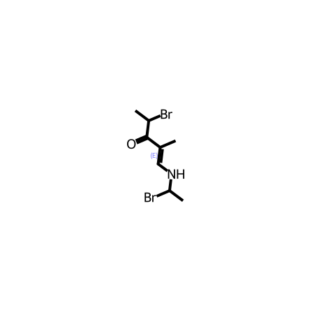 C/C(=C\NC(C)Br)C(=O)C(C)Br